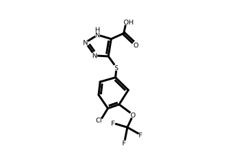 O=C(O)c1[nH]nnc1Sc1ccc(Cl)c(OC(F)(F)F)c1